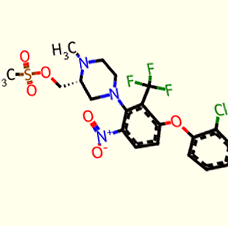 CN1CCN(c2c([N+](=O)[O-])ccc(Oc3ccccc3Cl)c2C(F)(F)F)C[C@@H]1COS(C)(=O)=O